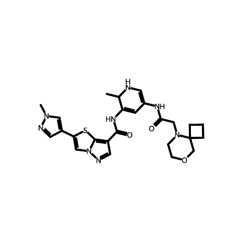 CC1NC=C(NC(=O)CN2CCOCC23CCC3)C=C1NC(=O)c1cnn2cc(-c3cnn(C)c3)sc12